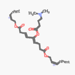 CCCCC/C=C\COC(=O)CCCC(CCCC(=O)OC/C=C\CCCCC)OC(=O)CCCN(C)C